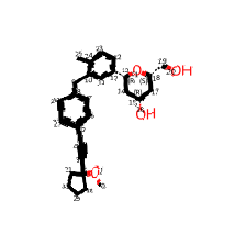 COC1(C#Cc2ccc(Cc3cc([C@H]4C[C@@H](O)C[C@@H](CO)O4)ccc3C)cc2)CCCC1